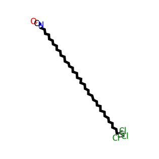 O=C=NCCCCCCCCCCCCCCCCCCCCCCCCCCCCCCCCCCCCCCC[Si](Cl)(Cl)Cl